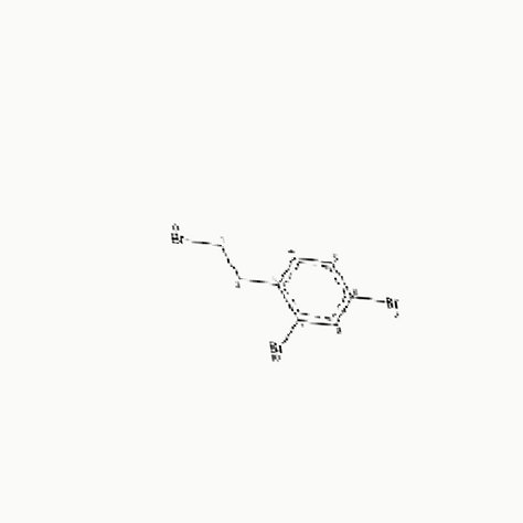 BrCCc1ccc(Br)cc1Br